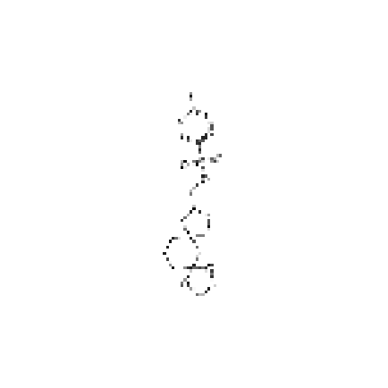 Cc1ccc(S(=O)(=O)OC[C@@H]2CC[C@]3(CCCC4(C3)OCCO4)C2)cc1